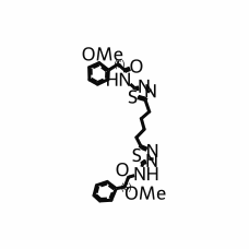 CO[C@H](C(=O)Nc1nnc(CCCCc2nnc(NC(=O)[C@@H](OC)c3ccccc3)s2)s1)c1ccccc1